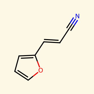 N#CC=Cc1ccco1